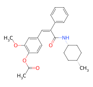 COc1cc(C=C(C(=O)N[C@H]2CC[C@@H](C)CC2)c2ccccc2)ccc1OC(C)=O